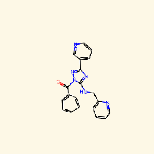 O=C(c1ccccc1)n1nc(-c2cccnc2)nc1NCc1ccccn1